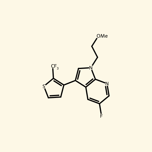 COCCn1cc(-c2ccsc2C(F)(F)F)c2cc(F)cnc21